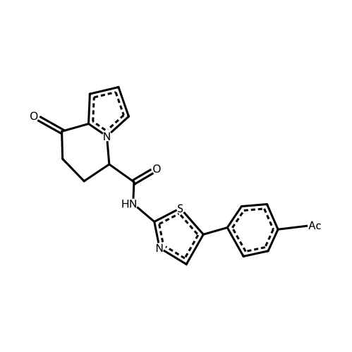 CC(=O)c1ccc(-c2cnc(NC(=O)C3CCC(=O)c4cccn43)s2)cc1